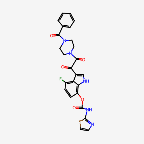 O=C(Nc1nccs1)Oc1ccc(F)c2c(C(=O)C(=O)N3CCN(C(=O)c4ccccc4)CC3)c[nH]c12